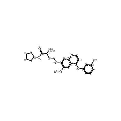 COc1cc2c(Oc3cccc(F)c3)ccnc2cc1OCCC(N)C(=O)OC1CCCC1